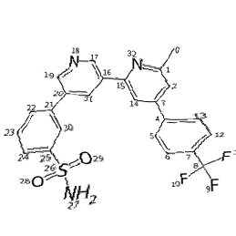 Cc1cc(-c2ccc(C(F)(F)F)cc2)cc(-c2cncc(-c3cccc(S(N)(=O)=O)c3)c2)n1